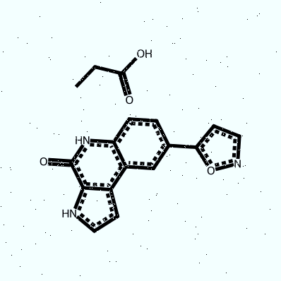 CCC(=O)O.O=c1[nH]c2ccc(-c3ccno3)cc2c2cc[nH]c12